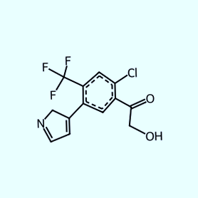 O=C(CO)c1cc(C2=CC=NC2)c(C(F)(F)F)cc1Cl